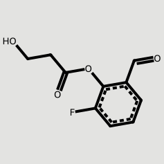 O=Cc1cccc(F)c1OC(=O)CCO